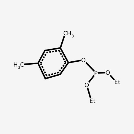 CCOP(OCC)Oc1ccc(C)cc1C